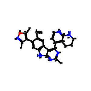 COc1cc2c(cc1-c1c(C)noc1C)[nH]c1nc(C)nc(-c3ccnc4c3CCCN4)c12